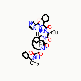 C[C@H](NC(=O)C(=O)[C@@H]1CCC2C[C@H]3CN(C(=O)[C@@H](NC(=O)[C@@H](NC(=O)c4cnccn4)C4CCCCC4)C(C)(C)C)[C@H](C(=O)N1)[C@H]3C2)c1ccccc1